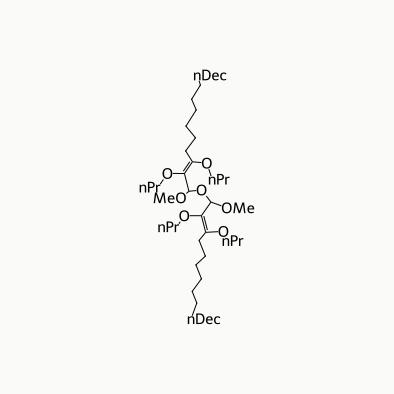 CCCCCCCCCCCCCCCCC(OCCC)=C(OCCC)C(OC)OC(OC)C(OCCC)=C(CCCCCCCCCCCCCCCC)OCCC